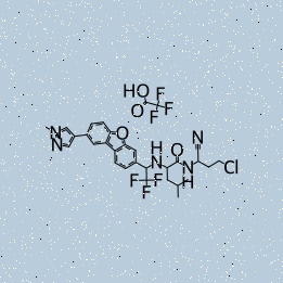 CC(C)CC(NC(c1ccc2c(c1)oc1ccc(-c3cnn(C)c3)cc12)C(F)(F)F)C(=O)NC(C#N)CCCl.O=C(O)C(F)(F)F